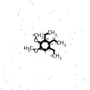 CCc1cc(OC)c(OC)c(CC)c1CC